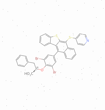 O=C(O)[C@@H](Cc1ccccc1)Oc1c(Br)cc(-c2c3ccccc3c(Sc3ccncc3)c3sc4ccccc4c23)cc1Br